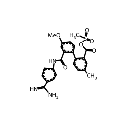 COc1ccc(-c2ccc(C)cc2C(=O)OS(C)(=O)=O)c(C(=O)Nc2ccc(C(=N)N)cc2)c1